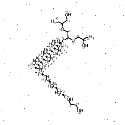 C=C.C=C.C=C.C=C.C=C.C=C.C=C.C=C.C=C.C=C.C=C.C=C.C=C.C=C.CC(O)COC(C)COC(C)CO.OCCO